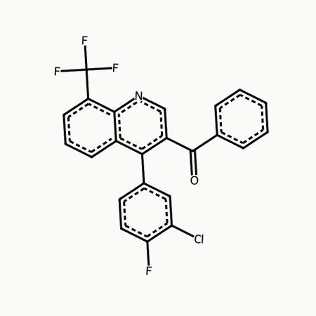 O=C(c1ccccc1)c1cnc2c(C(F)(F)F)cccc2c1-c1ccc(F)c(Cl)c1